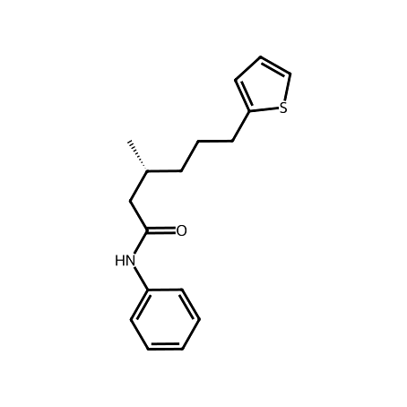 C[C@H](CCCc1cccs1)CC(=O)Nc1ccccc1